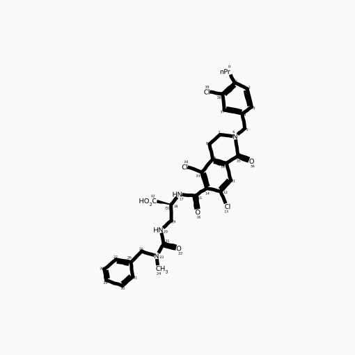 CCCc1ccc(CN2CCc3c(cc(Cl)c(C(=O)N[C@@H](CNC(=O)N(C)Cc4ccccc4)C(=O)O)c3Cl)C2=O)cc1Cl